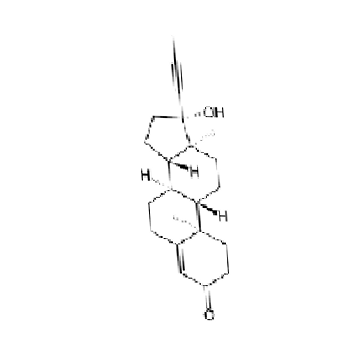 CC#C[C@]1(O)CC[C@H]2[C@@H]3CCC4=CC(=O)CC[C@]4(C)[C@H]3CC[C@@]21C